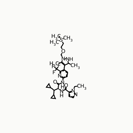 CCn1nccc1C(=O)N[C@H](C(=O)Nc1ccc(C2=C(C)N(COCCS(C)(C)C)NC2C)c(C(F)(F)F)n1)C(C1CC1)C1CC1